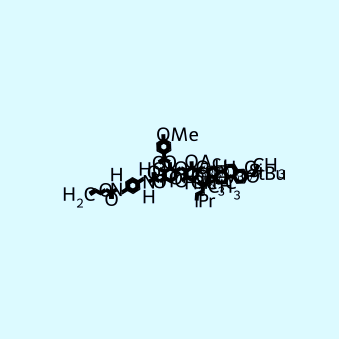 C=CCOC(=O)NCc1ccc(CNC(=O)OC2COC(OC3C(O)COC(O[C@H]4C[C@H]5[C@@H]6CC=C7C[C@@H](O[Si](C)(C)C(C)(C)C)CC[C@]7(C)C6CC[C@]5(C)[C@@]4(O)[C@H](C)C(=O)CCC(C)C)C3OC(C)=O)C(OC(=O)c3ccc(OC)cc3)C2O)cc1